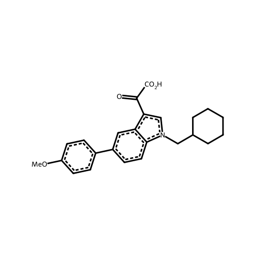 COc1ccc(-c2ccc3c(c2)c(C(=O)C(=O)O)cn3CC2CCCCC2)cc1